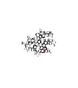 CC(C)(C)c1cccc(N2c3cc(C(C)(C)C)ccc3B3c4cc5c(cc4N(c4ccc(C(C)(C)C)cc4-c4ccccc4)c4cc(N6c7ccc([Si](C)(C)C)cc7C7(C)CCCCC67C)cc2c43)C(C)(C)CCC5(C)C)c1